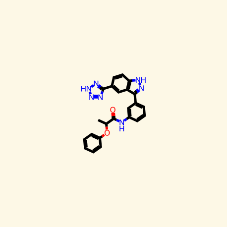 CC(Oc1ccccc1)C(=O)Nc1cccc(-c2n[nH]c3ccc(-c4nn[nH]n4)cc23)c1